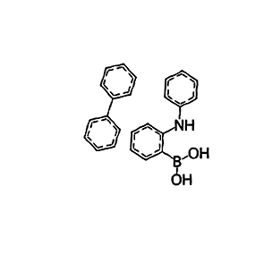 OB(O)c1ccccc1Nc1ccccc1.c1ccc(-c2ccccc2)cc1